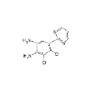 Nc1cc(-c2ncccn2)c(Cl)c(Cl)c1N